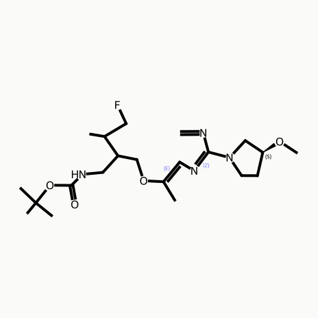 C=N/C(=N\C=C(/C)OCC(CNC(=O)OC(C)(C)C)C(C)CF)N1CC[C@H](OC)C1